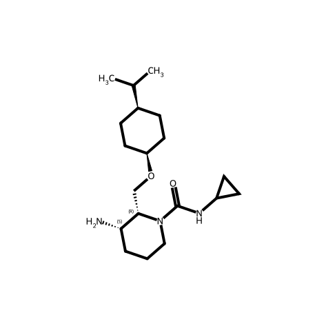 CC(C)[C@H]1CC[C@@H](OC[C@H]2[C@@H](N)CCCN2C(=O)NC2CC2)CC1